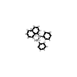 c1ccc(PN(c2ccccc2)c2cccc3ccccc23)cc1